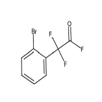 O=C(F)C(F)(F)c1ccccc1Br